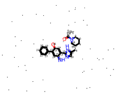 CCCC(=O)N1CCC[C@H](Cc2cnc(C3=CC(=O)C(c4ccccc4)=CC3=N)[nH]2)C1